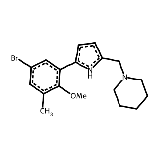 COc1c(C)cc(Br)cc1-c1ccc(CN2CCCCC2)[nH]1